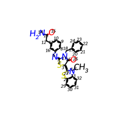 CN1C(=C2SC(=Nc3cccc(CC(N)=O)c3)N(Cc3ccccc3)C2=O)Sc2ccccc21